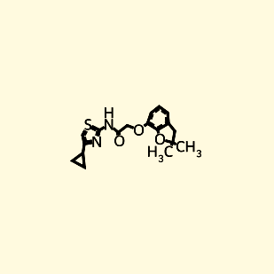 CC1(C)Cc2cccc(OCC(=O)Nc3nc(C4CC4)cs3)c2O1